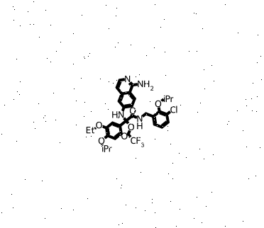 CCOc1cc(C(Nc2ccc3c(N)nccc3c2)(OC(=O)C(F)(F)F)C(=O)NCc2cccc(Cl)c2OC(C)C)ccc1OC(C)C